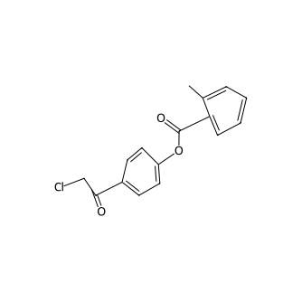 Cc1ccccc1C(=O)Oc1ccc(C(=O)CCl)cc1